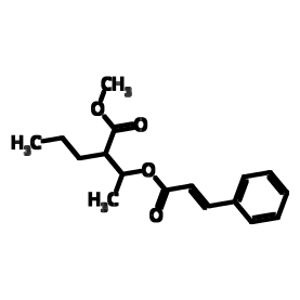 CCCC(C(=O)OC)C(C)OC(=O)/C=C/c1ccccc1